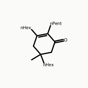 CCCCCCC1=C(CCCCC)C(=O)CC(C)(CCCCCC)C1